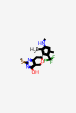 Bc1c(NC)cc(C)c(C(F)(F)F)c1[C@H]1Cc2nc(SC)nc(O)c2CO1